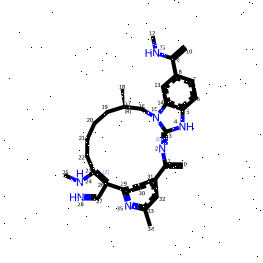 C=C1/N=C2\Nc3ccc(C(=C)NC)cc3N2C[C@H](C)CCCC/C(NC)=C(/C=N)c2cc1cc(C)n2